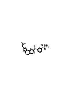 CN(C)Cc1nc2c(s1)CCc1cnc(Nc3cccc(S(N)(=O)=O)c3)nc1-2